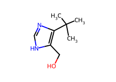 CC(C)(C)c1nc[nH]c1CO